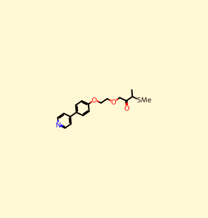 CSC(C)C(=O)COCCOc1ccc(-c2ccncc2)cc1